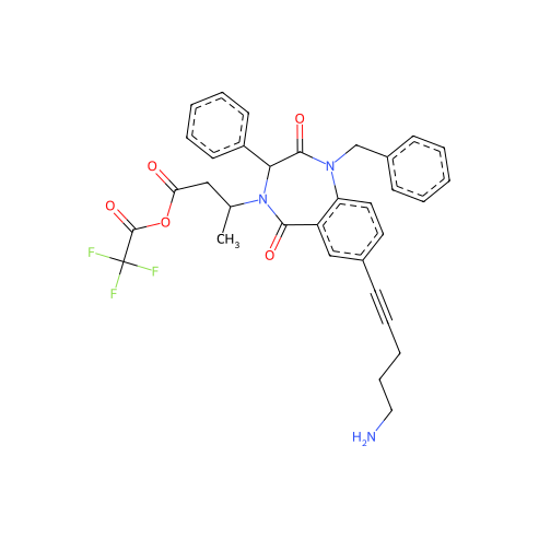 CC(CC(=O)OC(=O)C(F)(F)F)N1C(=O)c2cc(C#CCCCN)ccc2N(Cc2ccccc2)C(=O)C1c1ccccc1